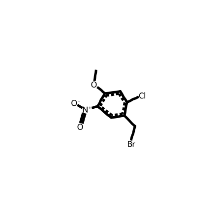 COc1cc(Cl)c(CBr)cc1[N+](=O)[O-]